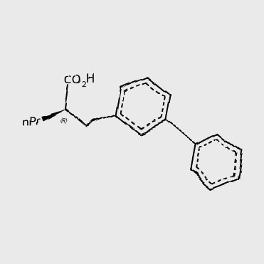 CCC[C@H](Cc1cccc(-c2ccccc2)c1)C(=O)O